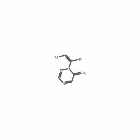 C=C1C=NC=NN1/C(=C\C)C(C)C